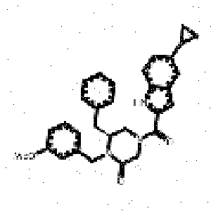 COc1cccc(CN2C(=O)CN(C(=O)c3cc4cc(C5CC5)ccc4[nH]3)C[C@@H]2Cc2ccccc2)c1